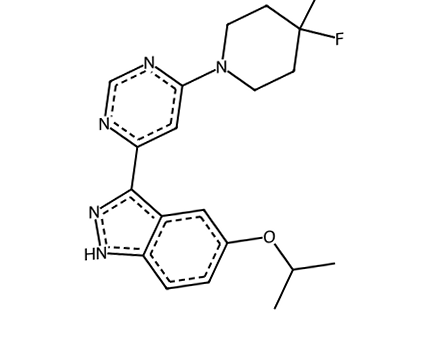 CC(C)Oc1ccc2[nH]nc(-c3cc(N4CCC(F)(F)CC4)ncn3)c2c1